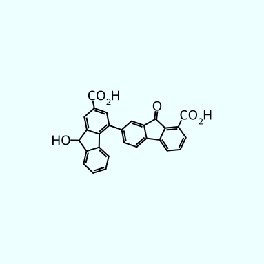 O=C(O)c1cc(-c2ccc3c(c2)C(=O)c2c(C(=O)O)cccc2-3)c2c(c1)C(O)c1ccccc1-2